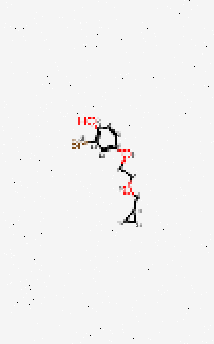 Oc1ccc(OCCOCC2CC2)cc1Br